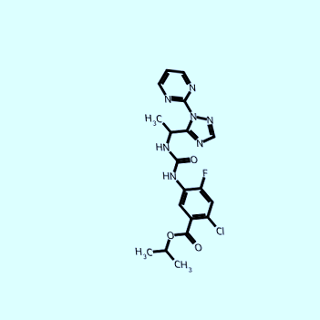 CC(C)OC(=O)c1cc(NC(=O)NC(C)c2ncnn2-c2ncccn2)c(F)cc1Cl